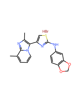 Br.Cc1nc2c(C)cccn2c1-c1csc(Nc2ccc3c(c2)OCO3)n1